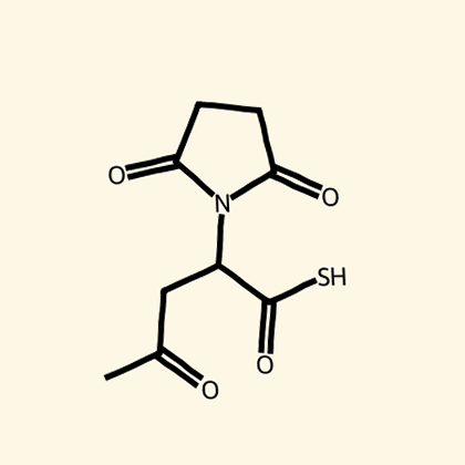 CC(=O)CC(C(=O)S)N1C(=O)CCC1=O